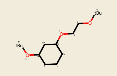 CC(C)(C)OCCOC1CCCC(OC(C)(C)C)C1